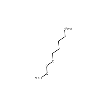 CCCCCCCCCOOOOC